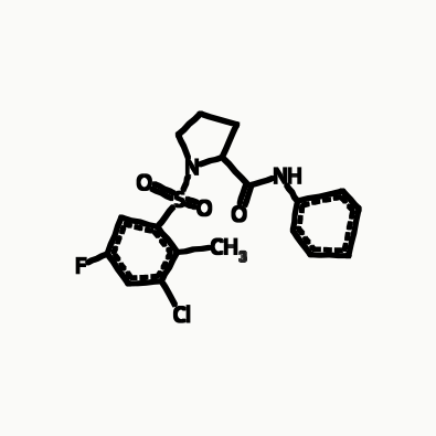 Cc1c(Cl)cc(F)cc1S(=O)(=O)N1CCCC1C(=O)Nc1ccccc1